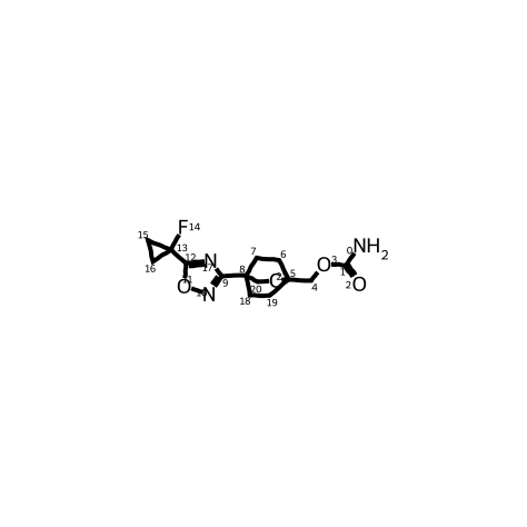 NC(=O)OCC12CCC(c3noc(C4(F)CC4)n3)(CC1)CC2